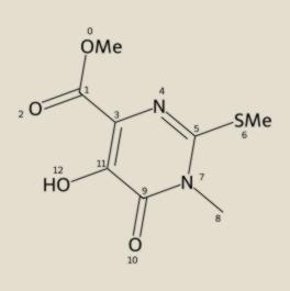 COC(=O)c1nc(SC)n(C)c(=O)c1O